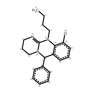 CCCCN1C2=NCCCN2C(c2ccccc2)c2cccc(Cl)c21